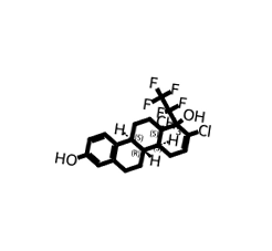 C[C@]12CC[C@@H]3c4ccc(O)cc4CC[C@H]3[C@@H]1CC=C(Cl)C2(O)C(F)(F)C(F)(F)F